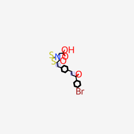 O=C(O)CN1C(=O)/C(=C\c2ccc(/C=C/C(=O)c3ccc(Br)cc3)cc2)SC1=S